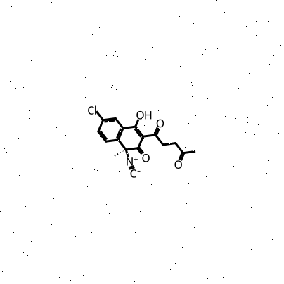 [C-]#[N+][C@]1(C)C(=O)C(C(=O)CCC(C)=O)=C(O)c2cc(Cl)ccc21